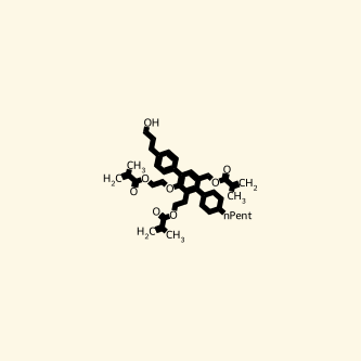 C=C(C)C(=O)OCCOc1c(-c2ccc(CCCO)cc2)cc(COC(=O)C(=C)C)c(C2CCC(CCCCC)CC2)c1CCOC(=O)C(=C)C